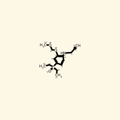 C#CCNc1ccc(P(=O)(CC)CC)cc1OCOC